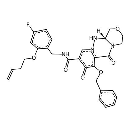 C=CCCOc1cc(F)ccc1CNC(=O)c1cn2c(c(OCc3ccccc3)c1=O)C(=O)N1CCOC[C@H]1N2